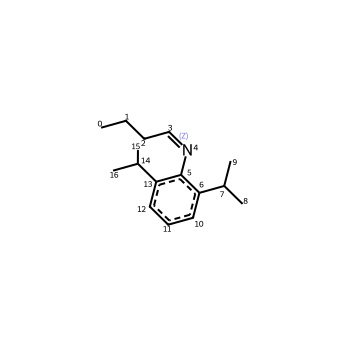 CCC/C=N\c1c(C(C)C)cccc1C(C)C